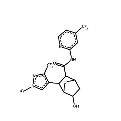 CC(C)n1cc(C2C3OC(CC3O)C2C(=O)Nc2cc(C(F)(F)F)ccn2)c(C(F)(F)F)n1